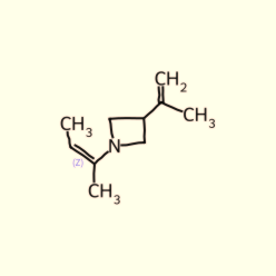 C=C(C)C1CN(/C(C)=C\C)C1